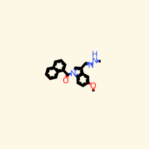 CN/N=C/c1cn(C(=O)c2cccc3ccccc23)c2ccc(OC)cc12